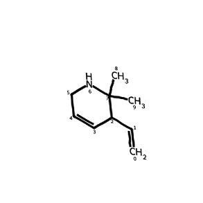 C=CC1C=CCNC1(C)C